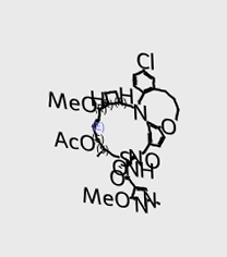 COc1nn(C)cc1C(=O)NS1(=O)=NC(=O)c2ccc3c(c2)N(Cc2ccc(Cl)cc2CCCCO3)C[C@@H]2CC[C@H]2[C@@H](OC)/C=C/[C@H](OC(C)=O)[C@H](C)C1